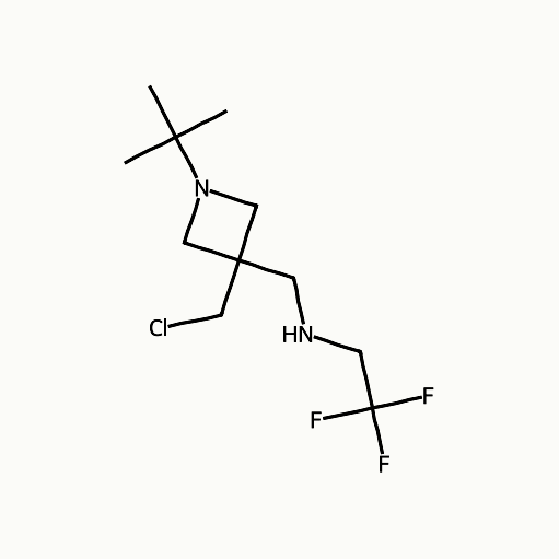 CC(C)(C)N1CC(CCl)(CNCC(F)(F)F)C1